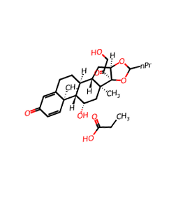 CCC(=O)O.CCCC1O[C@@H]2C[C@H]3[C@@H]4CCC5=CC(=O)C=C[C@]5(C)[C@H]4[C@@H](O)C[C@]3(C)[C@]2(C(=O)CO)O1